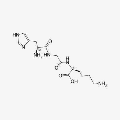 NCCCC[C@H](NC(=O)CNC(=O)[C@@H](N)Cc1c[nH]cn1)C(=O)O